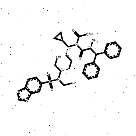 COC(=O)N(C(=O)[C@@H](N)C(c1ccccc1)c1ccccc1)[C@H](CCC[C@@H](CO)N(CC(C)C)S(=O)(=O)c1ccc2ncsc2c1)C1CC1